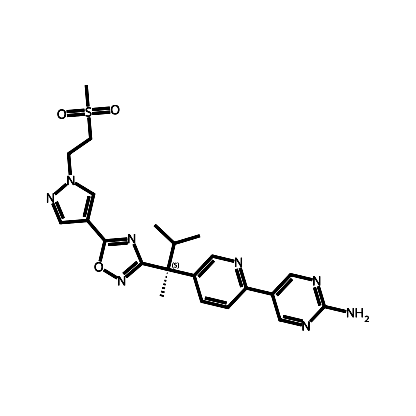 CC(C)[C@@](C)(c1ccc(-c2cnc(N)nc2)nc1)c1noc(-c2cnn(CCS(C)(=O)=O)c2)n1